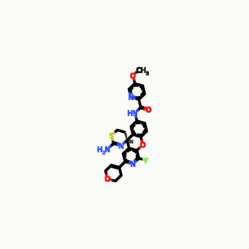 COc1ccc(C(=O)Nc2ccc3c(c2)[C@@]2(CCSC(N)=N2)c2cc(C4=CCOCC4)nc(F)c2O3)nc1